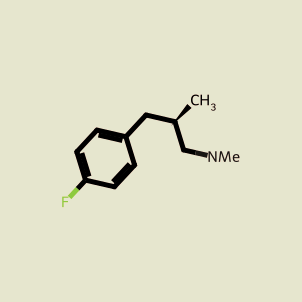 CNC[C@H](C)Cc1ccc(F)cc1